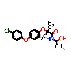 CC(O)NC(=O)C(C)(C)Oc1ccc(Oc2ccc(Cl)cc2)cc1